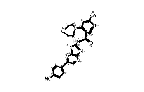 N#Cc1ccc(-c2cnc3nc(NC(=O)c4cnc(C#N)cc4N4CCOCC4)sc3n2)cc1